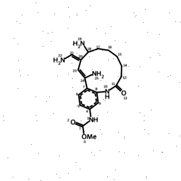 COC(=O)Nc1ccc2c(c1)NC(=O)CCCCCC(N)C(=C/N)/C=C/2N